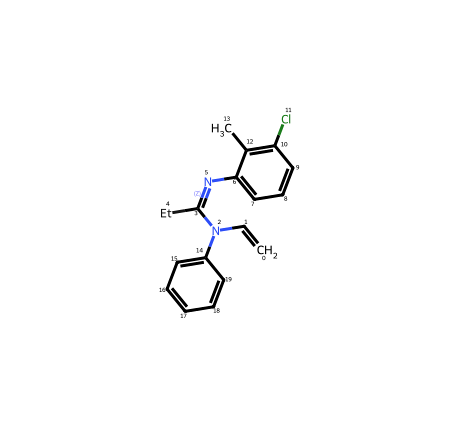 C=CN(/C(CC)=N\c1cccc(Cl)c1C)c1ccccc1